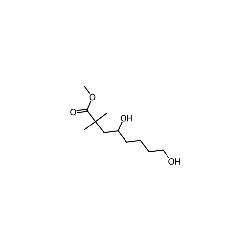 COC(=O)C(C)(C)CC(O)CCCCO